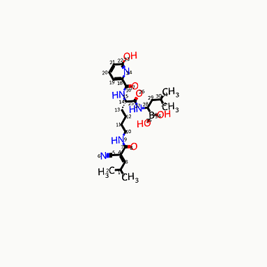 CC(C)/C=C(\C#N)C(=O)NCCCC[C@H](NC(=O)c1cccc(O)n1)C(=O)NC(CC(C)C)B(O)O